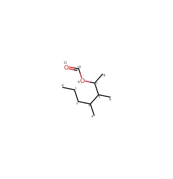 CCCC(C)C(C)C(C)OC=O